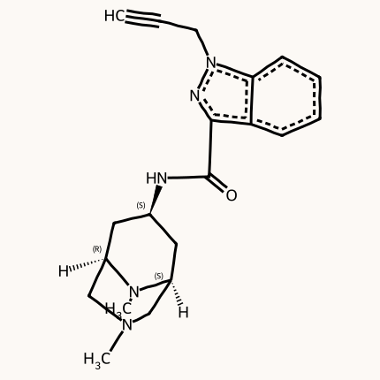 C#CCn1nc(C(=O)N[C@@H]2C[C@@H]3CN(C)C[C@H](C2)N3C)c2ccccc21